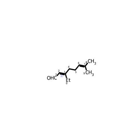 CC/C(=C\C=O)CCC=C(C)C